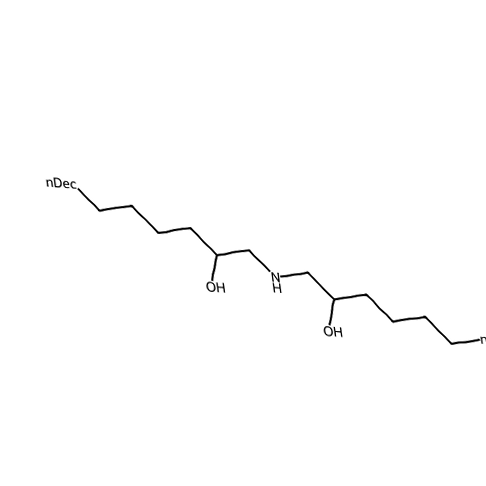 CCCCCCCCCCCCCCC(O)CNCC(O)CCCCCCCCCCCCCC